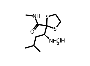 CNC(=O)C1([C@@H](N)CC(C)C)SCCS1.Cl